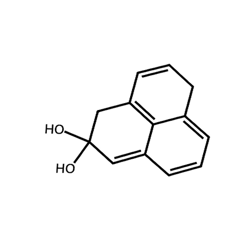 OC1(O)C=c2cccc3c2=C(C=CC3)C1